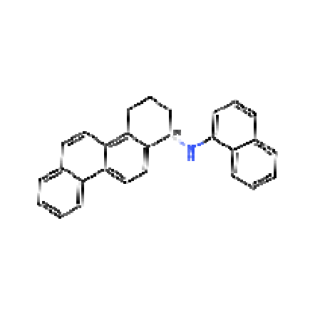 c1ccc2c(N[C@H]3CCCc4c3ccc3c4ccc4ccccc43)cccc2c1